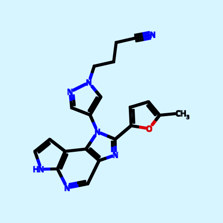 Cc1ccc(-c2nc3cnc4[nH]ccc4c3n2-c2cnn(CCCC#N)c2)o1